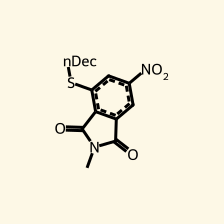 CCCCCCCCCCSc1cc([N+](=O)[O-])cc2c1C(=O)N(C)C2=O